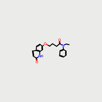 CCN(C(=O)CCCOc1ccc2ccc(=O)[nH]c2c1)c1ccccc1